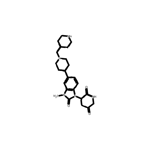 Cn1c(=O)n(C2CC(=O)CNC2=O)c2ccc(C3CCN(CC4CCNCC4)CC3)cc21